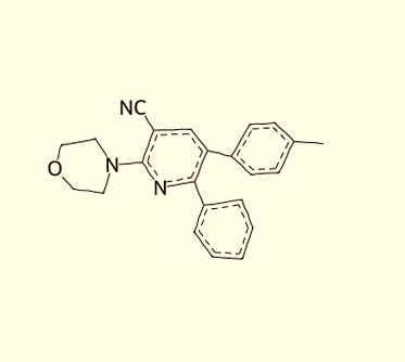 Cc1ccc(-c2cc(C#N)c(N3CCOCC3)nc2-c2ccccc2)cc1